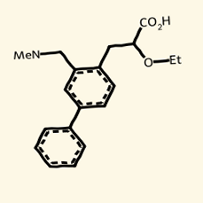 CCOC(Cc1ccc(-c2ccccc2)cc1CNC)C(=O)O